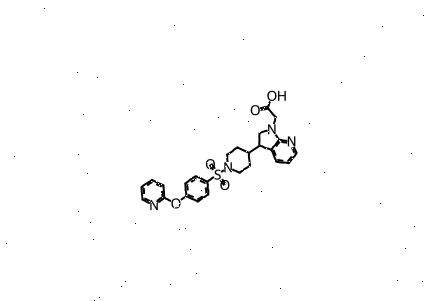 O=C(O)CN1CC(C2CCN(S(=O)(=O)c3ccc(Oc4ccccn4)cc3)CC2)c2cccnc21